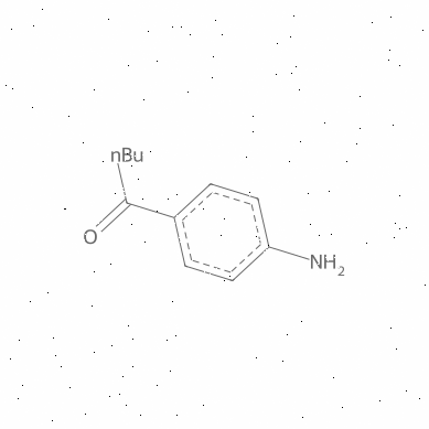 [CH2]CCCC(=O)c1ccc(N)cc1